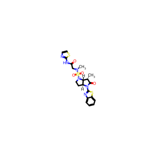 C[C@@H]1C(=O)N(c2nc3ccccc3s2)[C@H]2CCN(S(=O)(=O)N(C)CC(=O)Nc3nccs3)[C@H]12